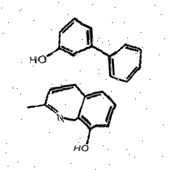 Cc1ccc2cccc(O)c2n1.Oc1cccc(-c2ccccc2)c1